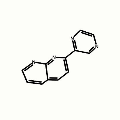 [c]1ccnc2nc(-c3cnccn3)ccc12